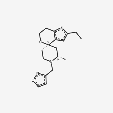 CCc1cc2c(s1)CCO[C@@]21CCN(Cc2ccon2)[C@@H](C)C1